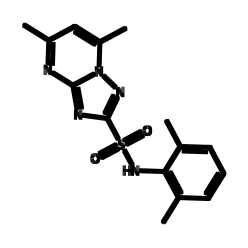 Cc1cc(C)n2nc(S(=O)(=O)Nc3c(C)cccc3C)nc2n1